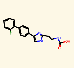 O=C(O)NCCc1nc(-c2ccc(-c3ccccc3F)cc2)c[nH]1